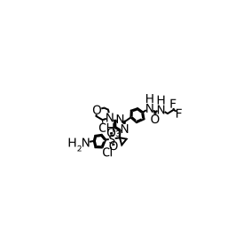 C[C@H]1COCCN1c1cc(C2(S(=O)(=O)c3ccc(N)cc3Cl)CC2)nc(-c2ccc(NC(=O)NCC(F)F)cc2)n1